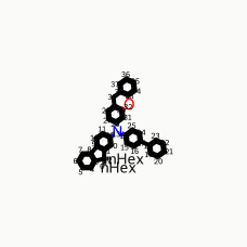 CCCCCCC1(CCCCCC)c2ccccc2-c2ccc(N(c3ccc(-c4ccccc4)cc3)c3ccc4c(c3)Oc3ccccc3C4)cc21